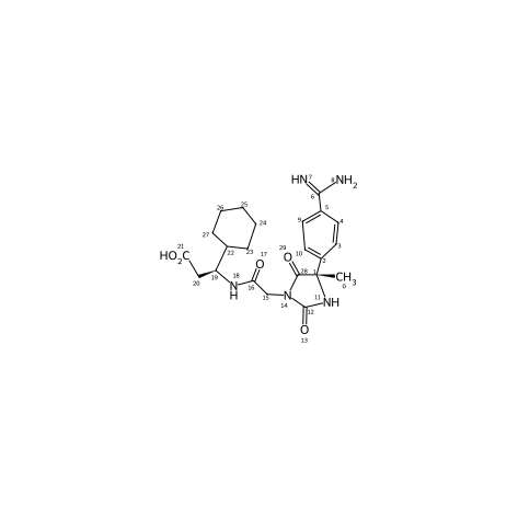 C[C@@]1(c2ccc(C(=N)N)cc2)NC(=O)N(CC(=O)N[C@@H](CC(=O)O)C2CCCCC2)C1=O